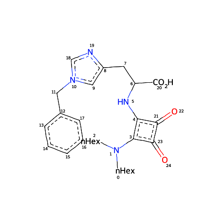 CCCCCCN(CCCCCC)c1c(NC(Cc2cn(Cc3ccccc3)cn2)C(=O)O)c(=O)c1=O